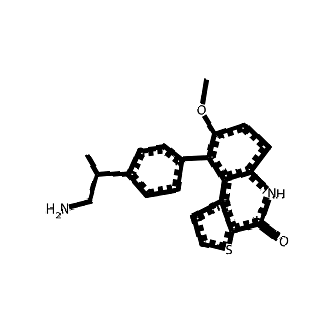 COc1ccc2[nH]c(=O)c3sccc3c2c1-c1ccc(C(C)CN)cc1